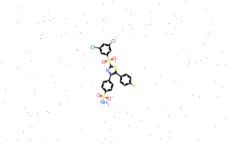 NS(=O)(=O)c1ccc(-c2nc(S(=O)(=O)c3cc(Cl)cc(Cl)c3)sc2-c2ccc(F)cc2)cc1